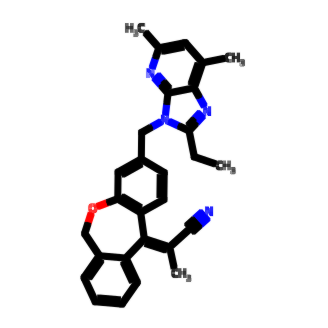 CCc1nc2c(C)cc(C)nc2n1Cc1ccc2c(c1)OCc1ccccc1C2=C(C)C#N